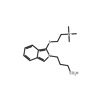 C[N+](C)(C)CCSc1c2ccccc2cn1CCCC(=O)O